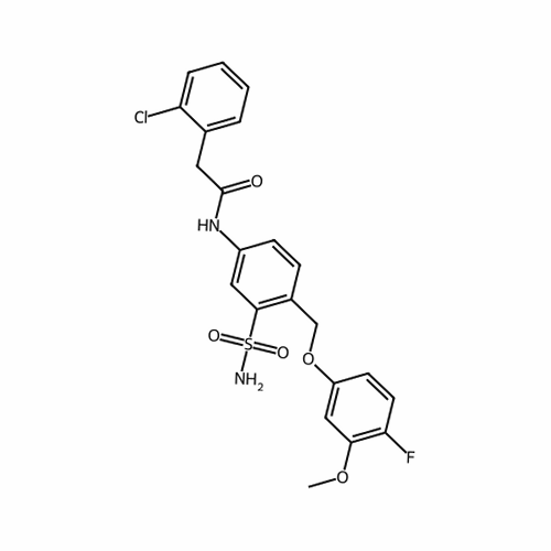 COc1cc(OCc2ccc(NC(=O)Cc3ccccc3Cl)cc2S(N)(=O)=O)ccc1F